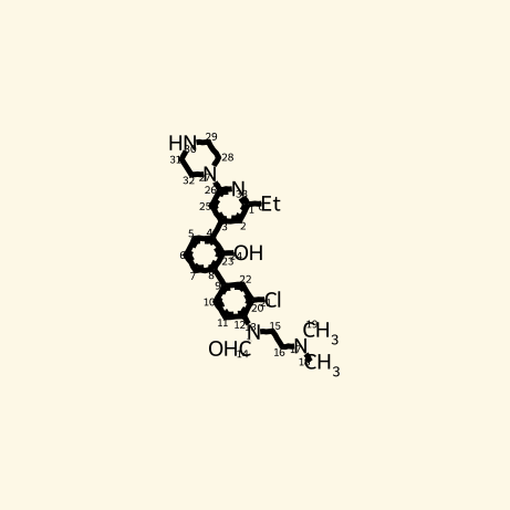 CCc1cc(-c2cccc(-c3ccc(N(C=O)CCN(C)C)c(Cl)c3)c2O)cc(N2CCNCC2)n1